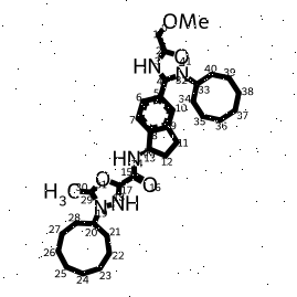 COCC1NC(c2ccc3c(c2)CC[C@H]3NC(=O)C2NN(C3CCCCCCCC3)C(C)O2)N(C2CCCCCCC2)O1